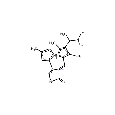 CCN(CC)C(C)c1c(C)[nH]c(/C=C2/C(=O)NN=C2c2cc(C)on2)c1C